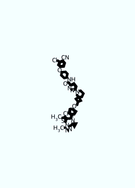 Cc1sc2c(c1C)C(c1ccc(OCC3CC4(CCCN(c5ccc(C(=O)N[C@H]6CC[C@H](Oc7ccc(C#N)c(Cl)c7)CC6)nn5)C4)C3)cc1)=NC1(CC1)c1nnc(C)n1-2